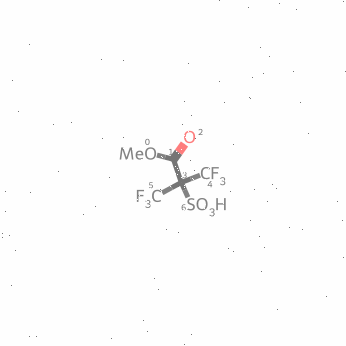 COC(=O)C(C(F)(F)F)(C(F)(F)F)S(=O)(=O)O